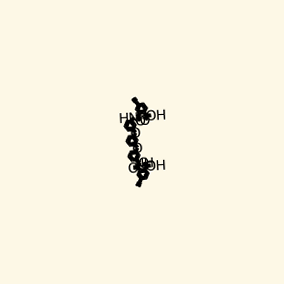 C#Cc1ccc(C(=O)O)c(C(=O)Nc2cccc(Oc3cccc(Oc4cccc(NC(=O)c5cc(C#C)ccc5C(=O)O)c4)c3)c2)c1